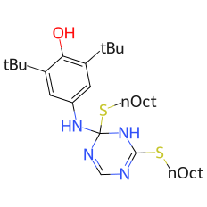 CCCCCCCCSC1=NC=NC(Nc2cc(C(C)(C)C)c(O)c(C(C)(C)C)c2)(SCCCCCCCC)N1